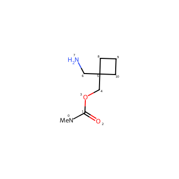 CNC(=O)OCC1(CN)CCC1